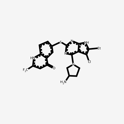 CCc1[nH]c2nc(Sc3ccc4[nH]c(C(F)(F)F)cc(=O)c4c3)nc(N3CCC(N)C3)c2c1Cl